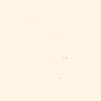 CCCc1ccc(-c2ccc(CCCC(=O)c3ccc(OCC)c(F)c3O)c(F)c2F)cc1